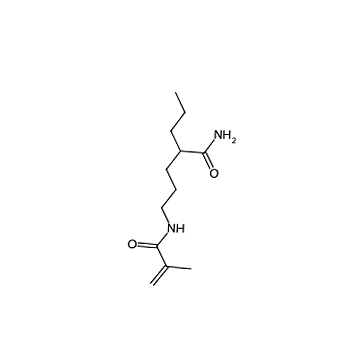 C=C(C)C(=O)NCCCC(CCC)C(N)=O